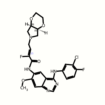 COc1cc2ncnc(Nc3ccc(F)c(Cl)c3)c2cc1NC(=O)/C(F)=C/CN1C[C@@H]2OCCO[C@@H]2C1